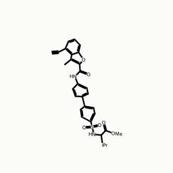 C#Cc1cccc2oc(C(=O)Nc3ccc(-c4ccc(S(=O)(=O)NC(C(=O)OC)C(C)C)cc4)cc3)c(C)c12